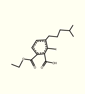 CCOC(=O)c1ccc(CCCC(C)C)c(I)c1C(=O)O